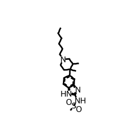 CCCCCCN1CCC(C)(c2ccc3[nH]c(NS(C)(=O)=O)nc3c2)C(C)C1